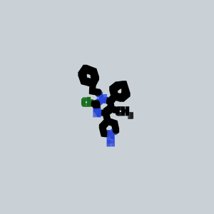 CC1=C(C2CCNCC2)N=C(Cl)N(CCc2ccccc2)C1c1ccccc1